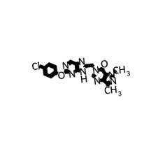 Cc1nn(C)c2c(=O)n(Cc3nc4cnc(Oc5ccc(Cl)cc5)nc4[nH]3)cnc12